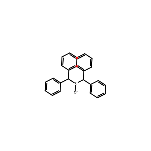 [O-][S+](C(c1ccccc1)c1ccccc1)C(c1ccccc1)c1ccccc1